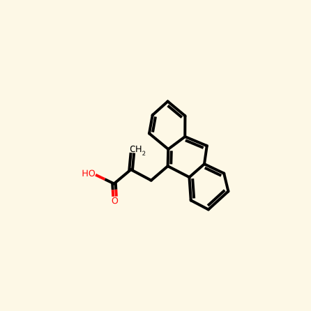 C=C(Cc1c2ccccc2cc2ccccc12)C(=O)O